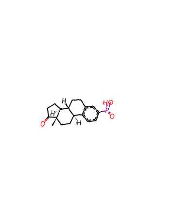 C[C@]12CC[C@@H]3c4ccc([PH](=O)O)cc4CC[C@H]3[C@@H]1CCC2=O